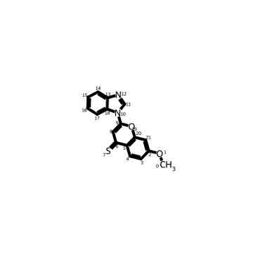 COc1ccc2c(=S)cc(-n3cnc4ccccc43)oc2c1